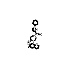 CCOc1c(C)cc2cccnc2c1N1CCCN(C(C(C)=O)c2ccn(-c3ccccc3)n2)CC1